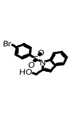 O=S(=O)(c1ccc(Br)cc1)n1c(CO)cc2ccccc21